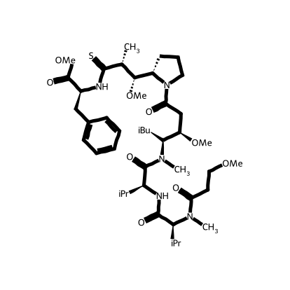 CC[C@H](C)[C@@H]([C@@H](CC(=O)N1CCC[C@H]1[C@H](OC)[C@@H](C)C(=S)N[C@@H](Cc1ccccc1)C(=O)OC)OC)N(C)C(=O)[C@@H](NC(=O)[C@H](C(C)C)N(C)C(=O)CCOC)C(C)C